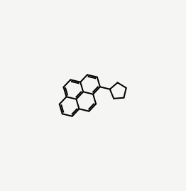 c1cc2ccc3ccc(C4CCCC4)c4ccc(c1)c2c34